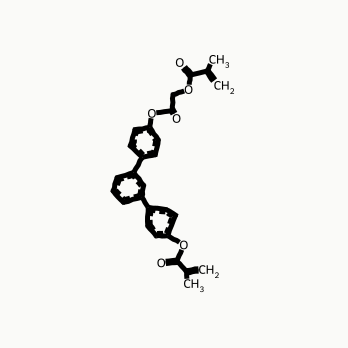 C=C(C)C(=O)OCC(=O)Oc1ccc(-c2cccc(-c3ccc(OC(=O)C(=C)C)cc3)c2)cc1